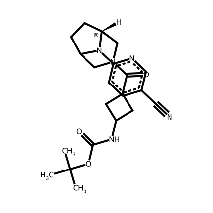 CC(C)(C)OC(=O)NC1CC(C(=O)N2CC3CC[C@H](C2)N3c2ccc(C#N)cn2)C1